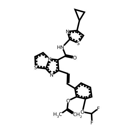 C=C(C)Oc1c(/C=C/c2nc3sccn3c2C(=O)Nc2nc(C3CC3)cs2)cccc1OC(F)F